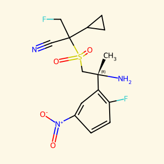 C[C@](N)(CS(=O)(=O)C(C#N)(CF)C1CC1)c1cc([N+](=O)[O-])ccc1F